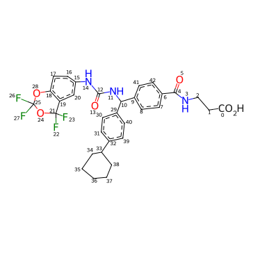 O=C(O)CCNC(=O)c1ccc(C(NC(=O)Nc2ccc3c(c2)C(F)(F)OC(F)(F)O3)c2ccc(C3CCCCC3)cc2)cc1